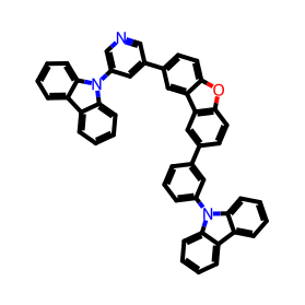 c1cc(-c2ccc3oc4ccc(-c5cncc(-n6c7ccccc7c7ccccc76)c5)cc4c3c2)cc(-n2c3ccccc3c3ccccc32)c1